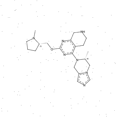 C[C@@H]1Cn2cncc2CN1c1nc(OC[C@@H]2CCCN2C)nc2c1CCNC2